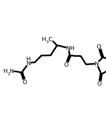 CC(CCCNC(N)=O)NC(=O)CCN1C(=O)C=CC1=O